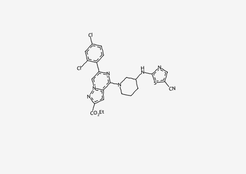 CCOC(=O)c1cc2c(N3CCCC(Nc4ncc(C#N)s4)C3)nc(-c3ccc(Cl)cc3Cl)cn2n1